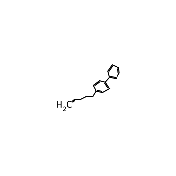 C=CCCCc1ccc(-c2ccccc2)cc1